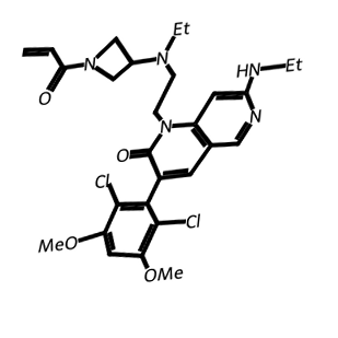 C=CC(=O)N1CC(N(CC)CCn2c(=O)c(-c3c(Cl)c(OC)cc(OC)c3Cl)cc3cnc(NCC)cc32)C1